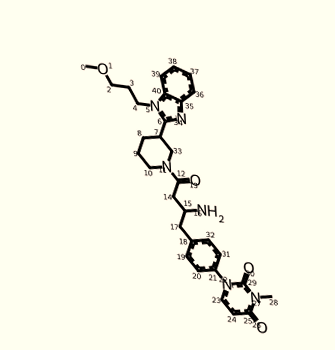 COCCCn1c(C2CCCN(C(=O)CC(N)Cc3ccc(-n4ccc(=O)n(C)c4=O)cc3)C2)nc2ccccc21